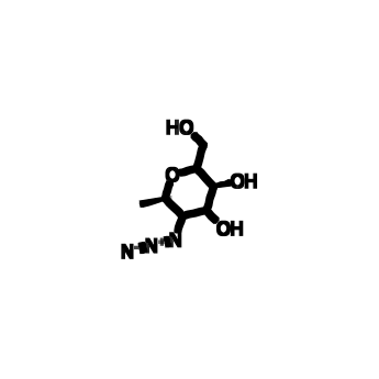 C[C@H]1OC(CO)[C@@H](O)C(O)C1N=[N+]=[N-]